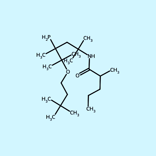 CCCC(C)C(=O)NC(C)(C)CC(C)(P)C(C)(C)OCCC(C)(C)C